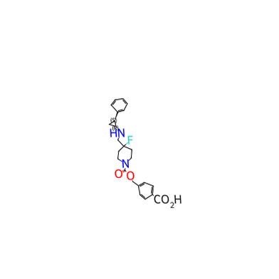 O=C(O)c1ccc(COC(=O)N2CCC(F)(CN[C@@H]3C[C@H]3c3ccccc3)CC2)cc1